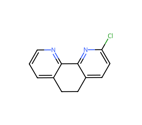 Clc1ccc2c(n1)-c1ncccc1CC2